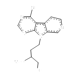 COC(CO)CCn1c2cnccc2c2c(N)ncnc21